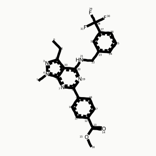 CCc1nn(C)c2nc(-c3ccc(C(=O)OC)cc3)nc(NCc3cccc(C(F)(F)F)c3)c12